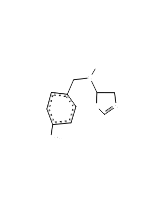 CCCCCCCN(Cc1ccc(OC)cc1)C1CN=CS1